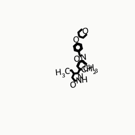 C=C(/C=c1/oc(-c2ccc(OC3CCOCC3)cc2)n/c1=C/C)C1=NNC(=O)CC1CC